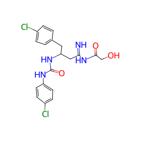 N=C(CC(Cc1ccc(Cl)cc1)NC(=O)Nc1ccc(Cl)cc1)NC(=O)CO